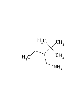 CCC(CN)C(C)(C)C